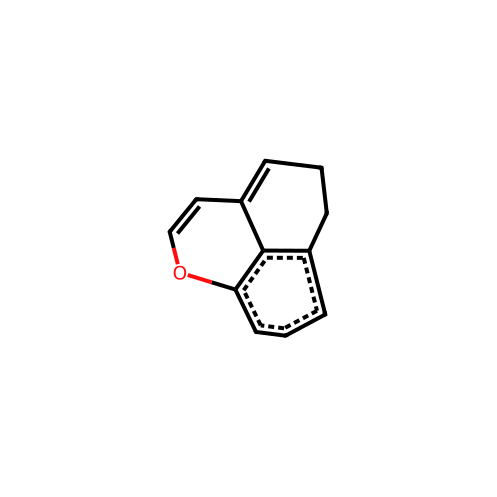 C1=CC2=CCCc3cccc(c32)O1